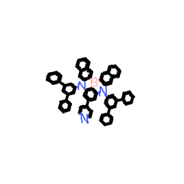 c1ccc(-c2cc(-c3ccccc3)cc(N3c4cc5ccccc5cc4B4c5cc6ccccc6cc5N(c5cc(-c6ccccc6)cc(-c6ccccc6)c5)c5cc(-c6ccncc6)cc3c54)c2)cc1